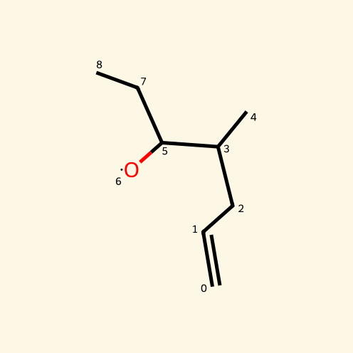 C=CCC(C)C([O])CC